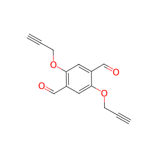 C#CCOc1cc(C=O)c(OCC#C)cc1C=O